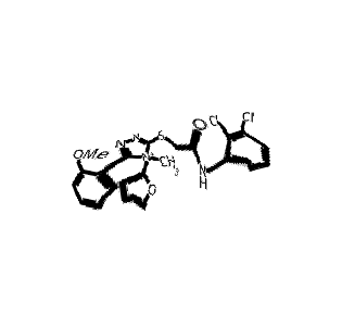 COc1ccccc1C1=NN=C(SCC(=O)Nc2cccc(Cl)c2Cl)[N+]1(C)c1ccco1